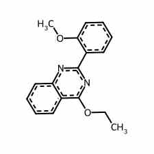 CCOc1nc(-c2ccccc2OC)nc2ccccc12